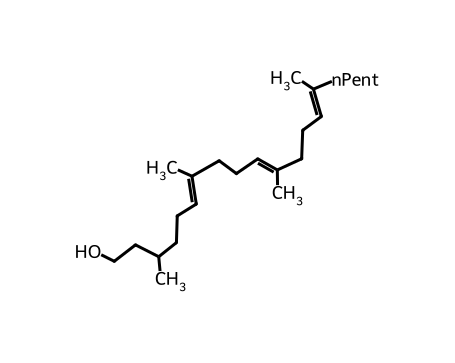 CCCCCC(C)=CCCC(C)=CCCC(C)=CCCC(C)CCO